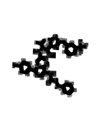 CC(C)[C@H](NC(=O)Cn1c(-c2ccc(F)cc2)ncc(NC(=O)OCc2ccccc2)c1=O)C(O)c1noc(Cc2cccc(C(F)(F)F)c2)n1